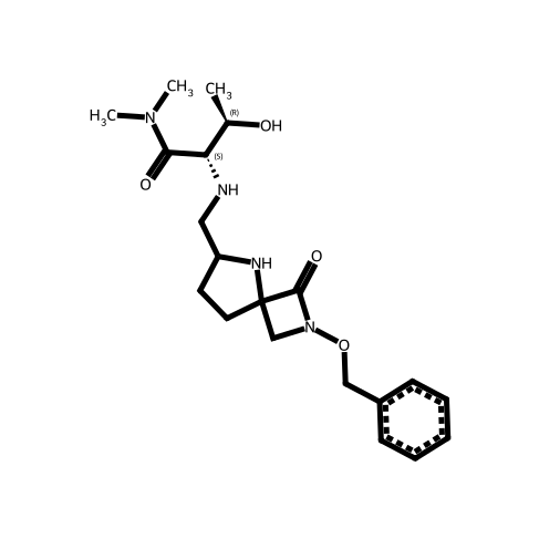 C[C@@H](O)[C@H](NCC1CCC2(CN(OCc3ccccc3)C2=O)N1)C(=O)N(C)C